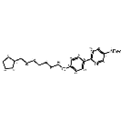 CCCCCCCCCCc1cnc(-c2ccc(OCCCCCCCC3CCCC3)cc2)nc1